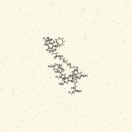 N=C(N)NCCCC(NC(=O)C(CC(=O)O)NC(=O)CCOCCOCCNC(=O)CCS(=O)(=O)c1c(F)c(F)c(S(N)(=O)=O)c(F)c1NC1CCCCCCC1)C(=O)NC(CC(=O)O)C(=O)NC[C@H](N)C(=O)N[C@@H](CC(=O)O)C(=O)O